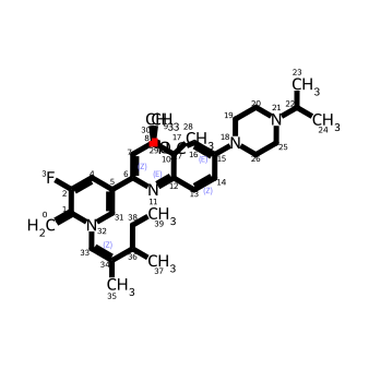 C=C1C(F)=CC(C(=C/C(C)=O)/N=C(/C=C\C(=C/C)N2CCN(C(C)C)CC2)C(C)CC)=CN1/C=C(/C)C(C)CC